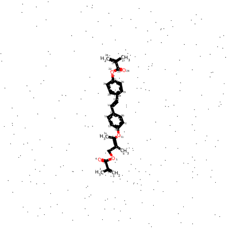 C=C(C)C(=O)OC/C(C)=C(\C)Oc1ccc(/C=C/c2ccc(OC(=O)C(=C)C)cc2)cc1